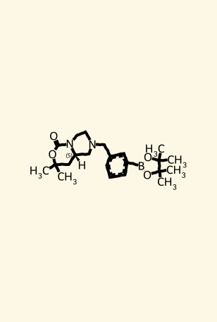 CC1(C)C[C@H]2CN(Cc3cccc(B4OC(C)(C)C(C)(C)O4)c3)CCN2C(=O)O1